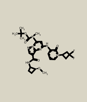 CO[C@H]1CCC1NC(=O)c1cnn2c(N(C)C(=O)OC(C)(C)C)cc(Nc3cccn(C4CC(F)(F)C4)c3=O)nc12